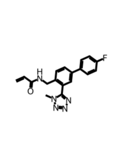 C=CC(=O)NCc1ccc(-c2ccc(F)cc2)cc1-c1nnnn1C